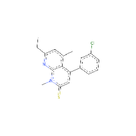 CCc1cc(C)c2c(-c3cccc(Cl)c3)cc(=S)n(C)c2n1